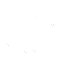 COC(=O)c1cnnc(C#N)c1